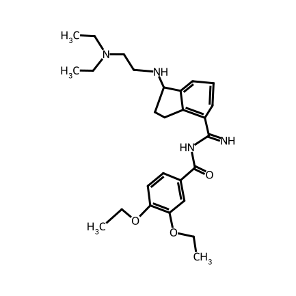 CCOc1ccc(C(=O)NC(=N)c2cccc3c2CCC3NCCN(CC)CC)cc1OCC